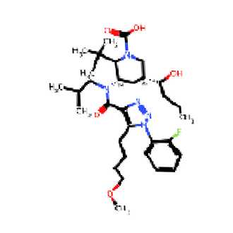 CCCC(O)[C@@H]1C[C@H](N(CC(C)C)C(=O)c2nnn(-c3ccccc3F)c2CCCCOC)C(C(C)(C)C)N(C(=O)O)C1